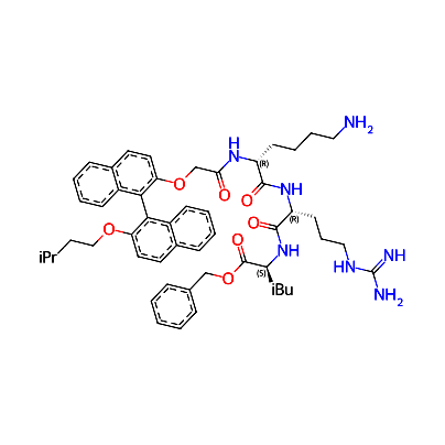 CCC(C)[C@H](NC(=O)[C@@H](CCCNC(=N)N)NC(=O)[C@@H](CCCCN)NC(=O)COc1ccc2ccccc2c1-c1c(OCCC(C)C)ccc2ccccc12)C(=O)OCc1ccccc1